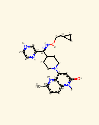 Cn1c(=O)cc(N2CCC(/C(=N\OCC3CC3)c3cnccn3)CC2)c2nc(C#N)ccc21